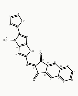 Cn1c(-c2ccco2)cc2sc(C=C3C(=O)c4cc5ccccc5cc4C3=O)nc21